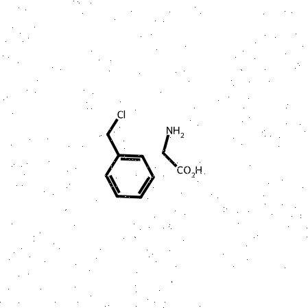 ClCc1ccccc1.NCC(=O)O